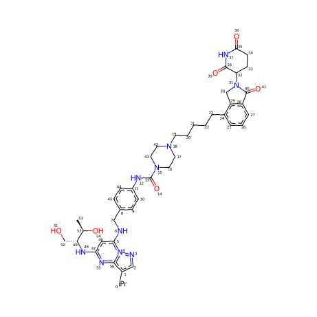 CC(C)c1cnn2c(NCc3ccc(NC(=O)N4CCN(CCCCCc5cccc6c5CN(C5CCC(=O)NC5=O)C6=O)CC4)cc3)cc(N[C@H](CO)[C@@H](C)O)nc12